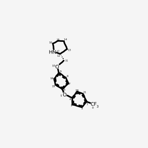 FC(F)(F)c1ccc(Oc2ccc(OC[C@H]3CCCCN3)cc2)cc1